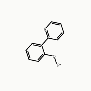 CC(C)Oc1ccccc1-c1[c]cccn1